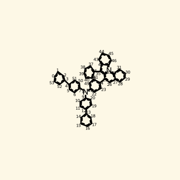 c1ccc(-c2ccc(N(c3ccc(-c4ccccc4)cc3)c3ccc(-c4cc5ccccc5n5c4c(-c4ccccc4)c4ccccc45)cc3)cc2)cc1